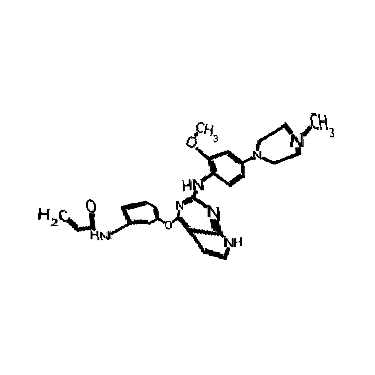 C=CC(=O)Nc1cccc(Oc2nc(Nc3ccc(N4CCN(C)CC4)cc3OC)nc3[nH]ccc23)c1